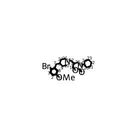 COc1ccc(Br)c(CC2CCN(CC3COC(=O)N(C4CCCCC4)C3)CC2)c1